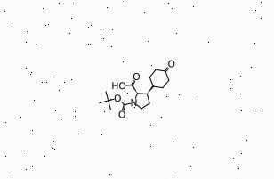 CC(C)(C)OC(=O)N1CC[C@H](C2CCC(=O)CC2)[C@@H]1C(=O)O